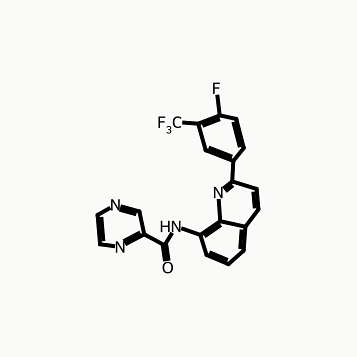 O=C(Nc1cccc2ccc(-c3ccc(F)c(C(F)(F)F)c3)nc12)c1cnccn1